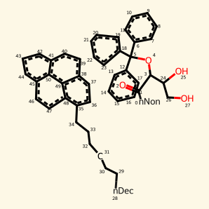 CCCCCCCCCC(=O)C(OC(c1ccccc1)(c1ccccc1)c1ccccc1)C(O)CO.CCCCCCCCCCCCCCCCc1ccc2ccc3cccc4ccc1c2c34